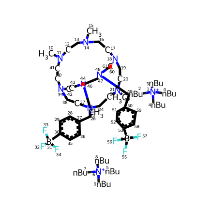 CCCC[N+](CCCC)(CCCC)CCCC.CCCC[N+](CCCC)(CCCC)CCCC.CN1CCN(C)CCN2CCN(C)CCN(Cc3ccc([B-](F)(F)F)cc3)CCN(CC1)CCN(C)CCN(Cc1ccc([B-](F)(F)F)cc1)CC2